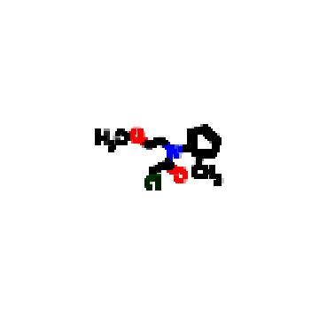 COCCN(C(=O)CCl)c1ccccc1C